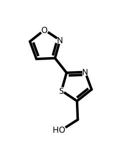 OCc1cnc(-c2ccon2)s1